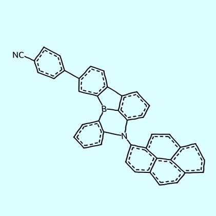 N#Cc1ccc(-c2ccc3c(c2)B2c4ccccc4N(c4ccc5ccc6cccc7ccc4c5c67)c4cccc-3c42)cc1